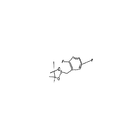 CC1(C)OB(Cc2cc(F)ccc2F)OC1(C)C